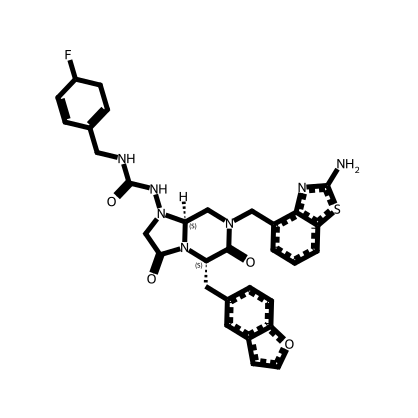 Nc1nc2c(CN3C[C@@H]4N(NC(=O)NCC5=CCC(F)C=C5)CC(=O)N4[C@@H](Cc4ccc5occc5c4)C3=O)cccc2s1